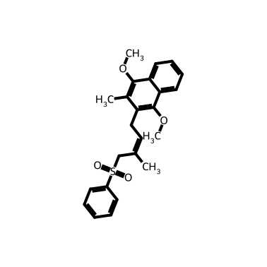 COc1c(C)c(CC=C(C)CS(=O)(=O)c2ccccc2)c(OC)c2ccccc12